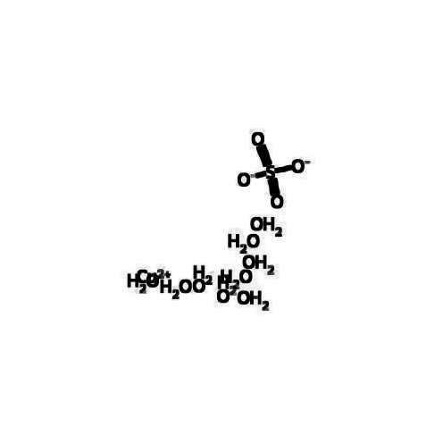 O.O.O.O.O.O.O.O.O.O=S(=O)([O-])[O-].[Cu+2]